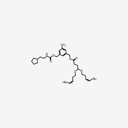 [CH2]c1cc(COC(=O)CCC(OCC/C=C\CCCC)OCC/C=C\CCCC)cc(COC(=O)NCCN2CCCC2)c1